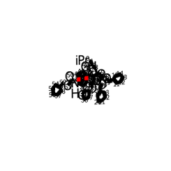 CC(C)CN(C[C@@H](OP(=O)(OCc1ccccc1)OCc1ccccc1)[C@H](Cc1ccccc1)NC(=O)O[C@H]1CCOC1)S(=O)(=O)c1ccc(NC(=O)OCc2ccccc2)cc1